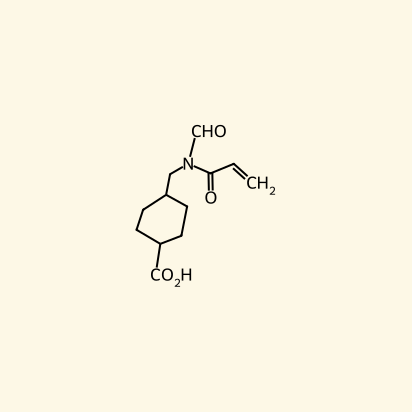 C=CC(=O)N(C=O)CC1CCC(C(=O)O)CC1